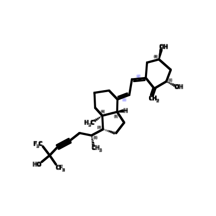 C=C1/C(=C\C=C2/CCC[C@]3(C)[C@@H]([C@H](C)CC#CC(O)(C(F)(F)F)C(F)(F)F)CC[C@@H]23)C[C@@H](O)C[C@@H]1O